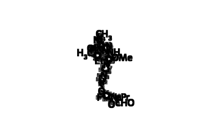 CCCC(C=O)N1Cc2cc(OCCN3CCN(C4CCN(c5cc(OC)c(Nc6ncc(-c7cnn(C)c7)c(Nc7ccccc7P(C)(C)=O)n6)cc5CC)CC4)CC3)c(F)cc2C1=O